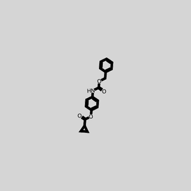 O=C(Nc1ccc(OC(=O)C2CC2)cc1)OCc1ccccc1